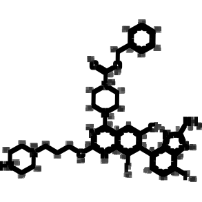 Nc1nc2c(-c3c(Cl)cc4c(N5CCN(C(=O)OCc6ccccc6)CC5)nc(OCCCN5CCNCC5)nc4c3F)ccc(F)c2s1